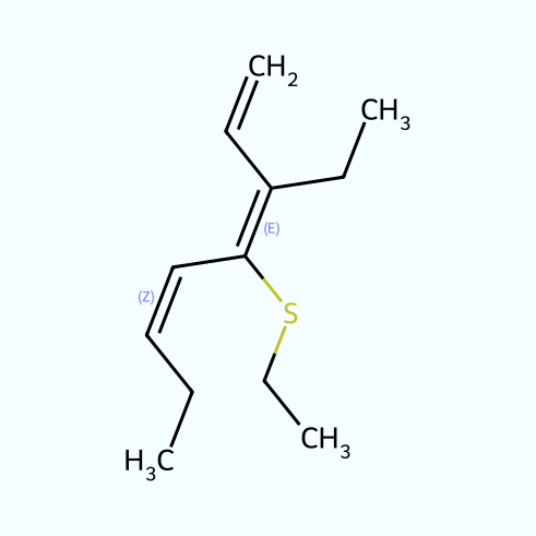 C=C/C(CC)=C(\C=C/CC)SCC